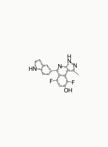 Cc1n[nH]c2nc(-c3ccc4[nH]ccc4c3)c3c(F)cc(O)c(F)c3c12